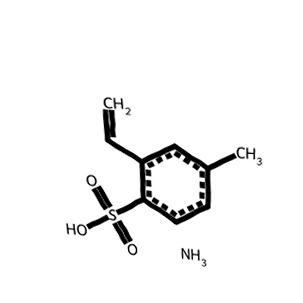 C=Cc1cc(C)ccc1S(=O)(=O)O.N